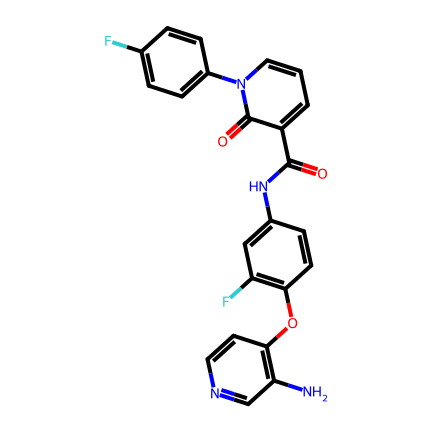 Nc1cnccc1Oc1ccc(NC(=O)c2cccn(-c3ccc(F)cc3)c2=O)cc1F